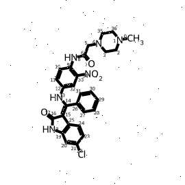 CN1CCN(CC(=O)Nc2ccc(N/C(=C3\C(=O)Nc4cc(Cl)ccc43)c3ccccc3)cc2[N+](=O)[O-])CC1